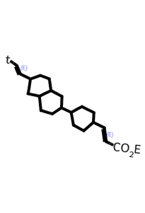 CC/C=C/C1CCC2CC(C3CCC(/C=C/C(=O)OCC)CC3)CCC2C1